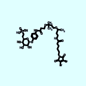 CC(CCNC(=O)CCCCCN1C(=O)C(Br)=C(Br)C1=O)OCCC(C)(C)OCCC(=O)Nc1ccc(O[C@H]2O[C@H](CCP(=O)(O)O)[C@@H](O)[C@H](O)[C@@H]2O)cc1